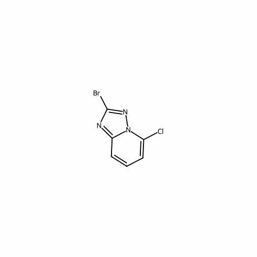 Clc1cccc2nc(Br)nn12